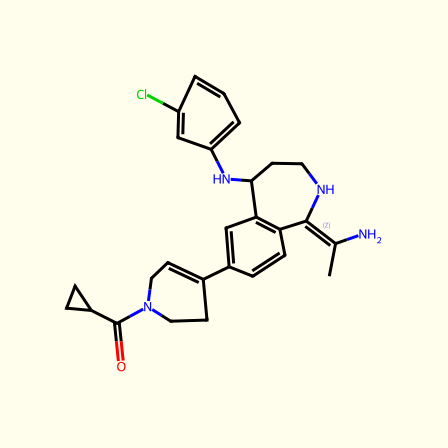 C/C(N)=C1/NCCC(Nc2cccc(Cl)c2)c2cc(C3=CCN(C(=O)C4CC4)CC3)ccc21